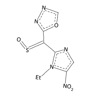 CCn1c([N+](=O)[O-])cnc1C(=S=O)c1nnco1